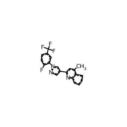 Cc1cc(-c2cnn(-c3cc(C(F)(F)F)ccc3F)c2)nc2ccccc12